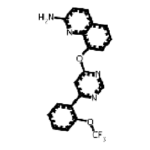 Nc1ccc2cccc(Oc3cc(-c4ccccc4OC(F)(F)F)ncn3)c2n1